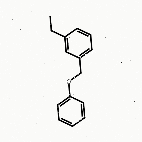 CCc1cccc(COc2ccccc2)c1